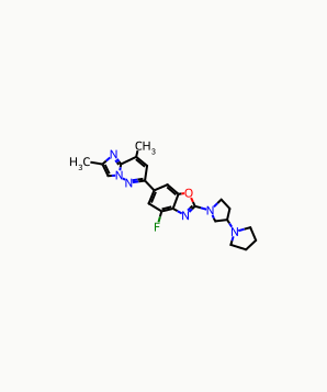 Cc1cn2nc(-c3cc(F)c4nc(N5CCC(N6CCCC6)C5)oc4c3)cc(C)c2n1